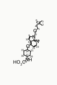 C[Si](C)(C)CCOCn1ccc2c(OC3CCC(NC(=O)O)CC3)ccnc21